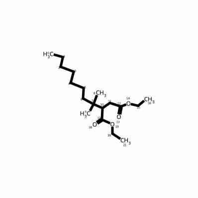 CCCCCCCC(C)(C)C(CC(=O)OCC)C(=O)OCC